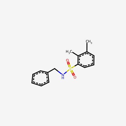 Cc1cccc(S(=O)(=O)NCc2ccccc2)c1C